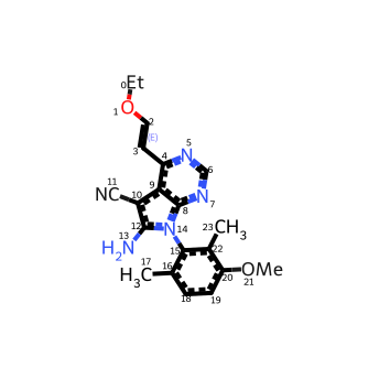 CCO/C=C/c1ncnc2c1c(C#N)c(N)n2-c1c(C)ccc(OC)c1C